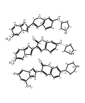 Cc1cc(F)cn2cc(-c3cc4ccc(N5CCNCC5)cc4oc3=O)nc12.Cc1ccc2nc(-c3cc4ccc(O[C@@H]5CCNC5)cc4oc3=O)cn2c1.Cc1cnc2nc(C3=Cc4ccc(O[C@@H]5CCNC5)cc4OC3)cn2c1